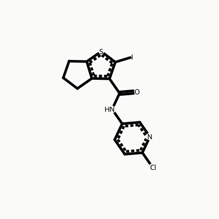 O=C(Nc1ccc(Cl)nc1)c1c(I)sc2c1CCC2